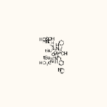 CN(C(=O)O)[C@H](C(O)N[C@H](Cc1ccc(-c2ccccn2)cc1)C[C@H](O)[C@H](Cc1ccccc1)NC(O)[C@@H](NCCNS(C)(O)O)C(C)(C)C)C(C)(C)C